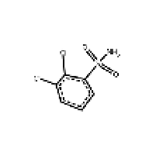 NS(=O)(=O)c1c[c]cc(Cl)c1Cl